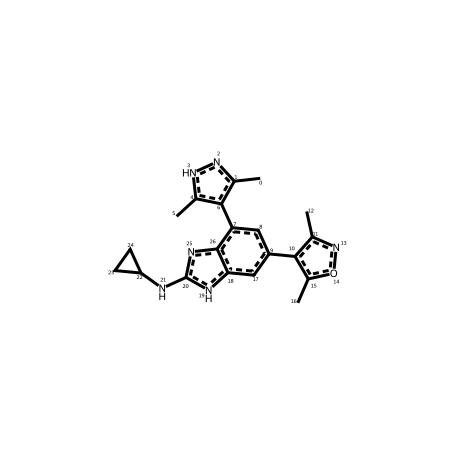 Cc1n[nH]c(C)c1-c1cc(-c2c(C)noc2C)cc2[nH]c(NC3CC3)nc12